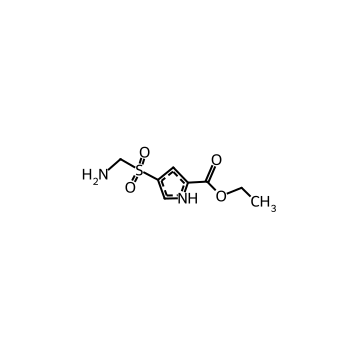 CCOC(=O)c1cc(S(=O)(=O)CN)c[nH]1